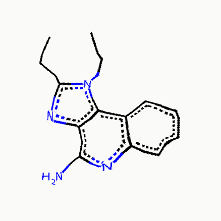 CCc1nc2c(N)nc3ccccc3c2n1CC